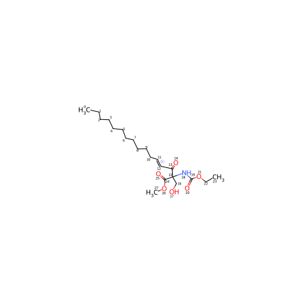 CCCCCCCCCCC/C=C/C(=O)C(CO)(NC(=O)OCC)C(=O)OC